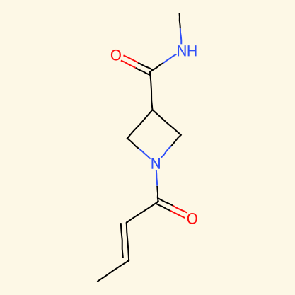 CC=CC(=O)N1CC(C(=O)NC)C1